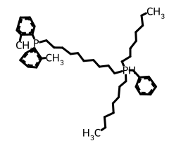 CCCCCCCC[PH](CCCCCCCC)(CCCCCCCCCCP(c1ccccc1C)c1ccccc1C)Cc1ccccc1